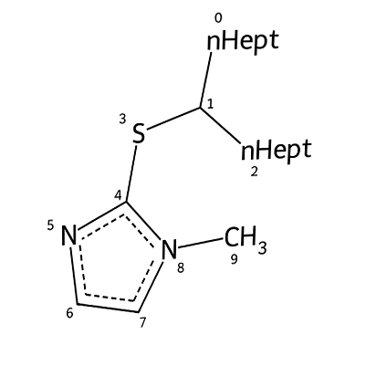 CCCCCCCC(CCCCCCC)Sc1nccn1C